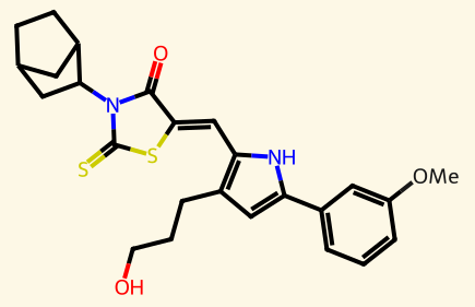 COc1cccc(-c2cc(CCCO)c(/C=C3\SC(=S)N(C4CC5CCC4C5)C3=O)[nH]2)c1